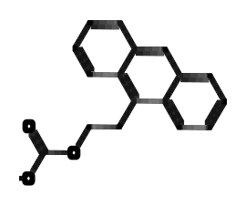 [O]C(=O)OCCc1c2ccccc2cc2ccccc12